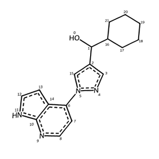 OC(c1cnn(-c2ccnc3[nH]ccc23)c1)C1CCCCC1